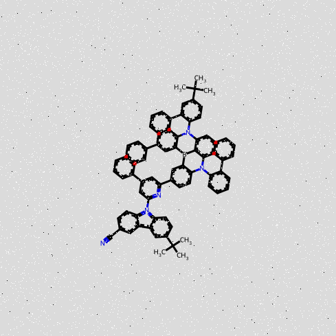 CC(C)(C)c1ccc(N2c3ccc(-c4ccccc4)cc3B3c4cc(-c5cc(-c6ccccc6)cc(-n6c7ccc(C#N)cc7c7cc(C(C)(C)C)ccc76)n5)ccc4N(c4ccccc4-c4ccccc4)c4cccc2c43)c(-c2ccccc2)c1